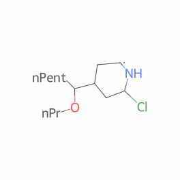 CCCCCC(OCCC)C1C[CH]NC(Cl)C1